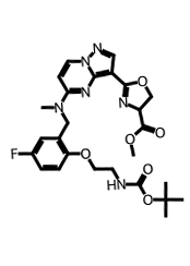 COC(=O)C1COC(c2cnn3ccc(N(C)Cc4cc(F)ccc4OCCNC(=O)OC(C)(C)C)nc23)=N1